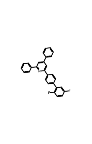 Fc1ccc(F)c(-c2ccc(-c3cc(-c4ccccc4)cc(-c4ccccc4)n3)cc2)c1